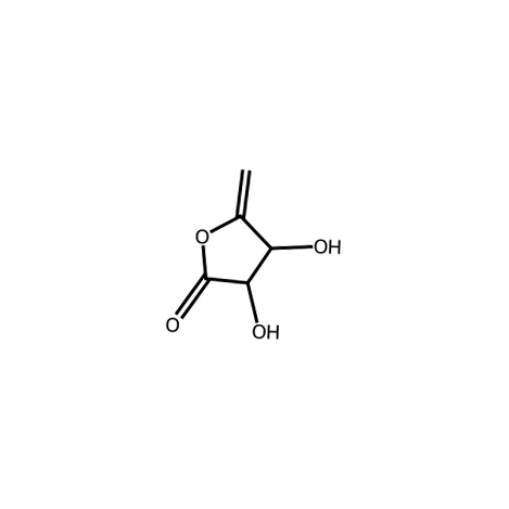 C=C1OC(=O)C(O)C1O